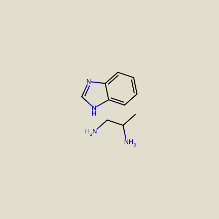 CC(N)CN.c1ccc2[nH]cnc2c1